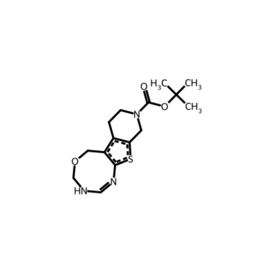 CC(C)(C)OC(=O)N1CCc2c(sc3c2COCN/C=N\3)C1